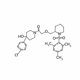 Cc1cc(C)c(S(=O)(=O)N2CCCCC2COCC(=O)N2CCC(O)(c3ccc(Cl)cc3)CC2)c(C)c1